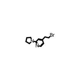 BrCCc1ccnc(N2CCCC2)c1